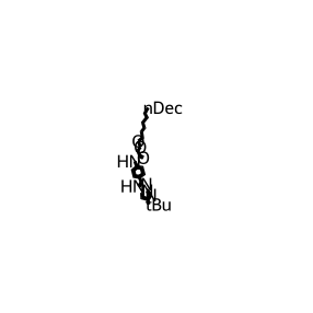 CCCCCCCCCCCCCCCCOOCC(=O)Nc1ccc(-c2nn3nc(C(C)(C)C)cc3[nH]2)cc1